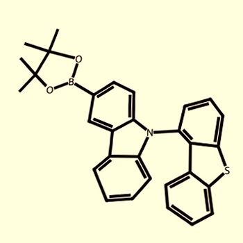 CC1(C)OB(c2ccc3c(c2)c2ccccc2n3-c2cccc3sc4ccccc4c23)OC1(C)C